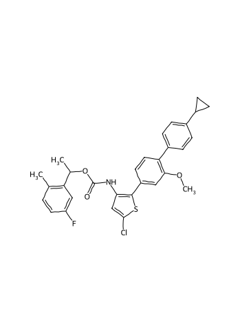 COc1cc(-c2sc(Cl)cc2NC(=O)OC(C)c2cc(F)ccc2C)ccc1-c1ccc(C2CC2)cc1